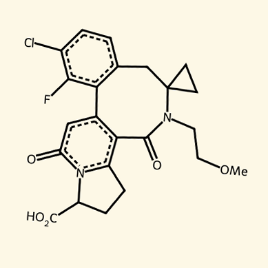 COCCN1C(=O)c2c(cc(=O)n3c2CCC3C(=O)O)-c2c(ccc(Cl)c2F)CC12CC2